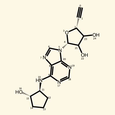 C#C[C@H]1O[C@@H](n2cnc3c(N[C@H]4CCC[C@@H]4O)ncnc32)C(O)C1O